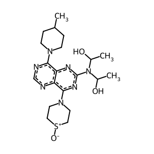 CC1CCN(c2ncnc3c(N4CC[S+]([O-])CC4)nc(N(C(C)O)C(C)O)nc23)CC1